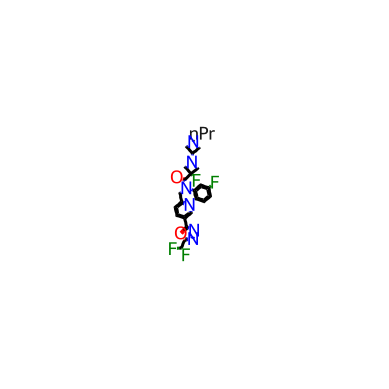 CCCN1CC(N2CC(F)(C(=O)N(Cc3ccc(-c4nnc(C(F)F)o4)cn3)c3cccc(F)c3)C2)C1